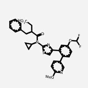 COc1ccc(-c2ccc(OC(F)F)cc2-c2csc(N(C(=O)C(CC(=O)O)Cc3ccccc3)C3CC3)n2)cn1